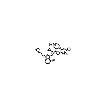 COCCCn1cc(CN(C(=O)C2CNCC[C@@H]2c2ccn(C)c(=O)c2)C2CC2)c2c(F)cccc21